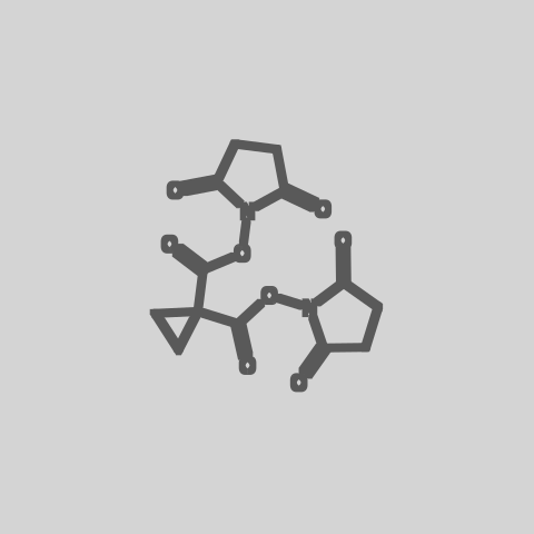 O=C1CCC(=O)N1OC(=O)C1(C(=O)ON2C(=O)CCC2=O)CC1